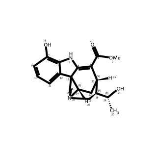 COC(=O)C1=C2Nc3c(O)cccc3C23CCN2C[C@H]([C@@H](C)O)[C@@H]1C[C@H]23